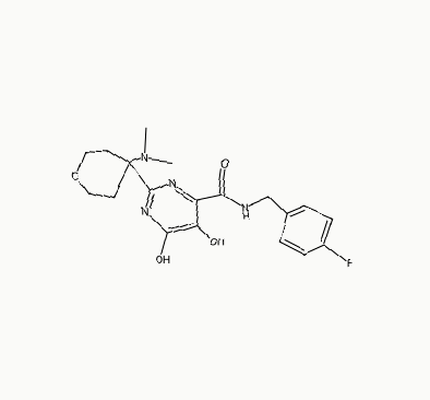 CN(C)C1(c2nc(O)c(O)c(C(=O)NCc3ccc(F)cc3)n2)CCOCC1